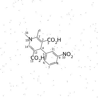 CC1=C(C(=O)O)C(c2cccc([N+](=O)[O-])c2)C(C(=O)O)=CN1C